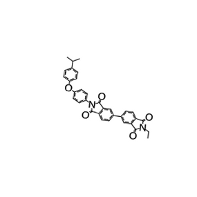 CCN1C(=O)c2ccc(-c3ccc4c(c3)C(=O)N(c3ccc(Oc5ccc(C(C)C)cc5)cc3)C4=O)cc2C1=O